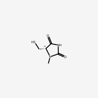 CN1C(=O)NC(=O)[C@H]1CS